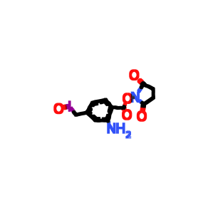 Nc1cc(CI=O)ccc1C(=O)ON1C(=O)CCC1=O